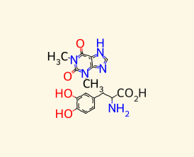 Cn1c(=O)c2[nH]cnc2n(C)c1=O.NC(Cc1ccc(O)c(O)c1)C(=O)O